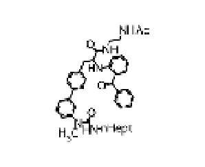 CCCCCCCNC(=O)N(C)c1cccc(-c2ccc(CC(Nc3ccccc3C(=O)c3ccccc3)C(=O)NCCNC(C)=O)cc2)c1